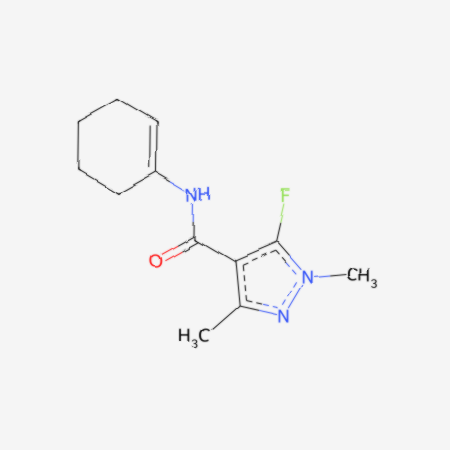 Cc1nn(C)c(F)c1C(=O)NC1=CCCCC1